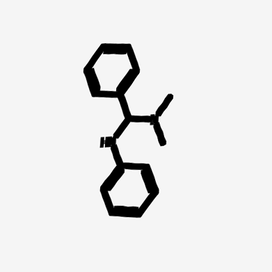 CN(C)C(Nc1ccccc1)c1ccccc1